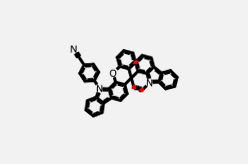 N#Cc1ccc(-n2c3ccccc3c3ccc4c(c32)Oc2ccccc2C42c3ccccc3-n3c4ccccc4c4cccc2c43)cc1